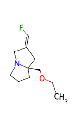 CCOC[C@@]12CCCN1C/C(=C\F)C2